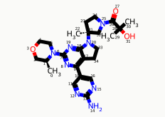 C[C@H]1COCCN1c1nc(-c2cnc(N)nc2)c2c(n1)N([C@@]1(C)CCN(C(=O)C(C)(C)O)C1)CC2